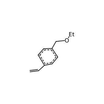 C=Cc1ccc(COCC)cc1